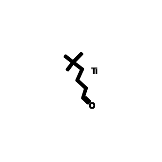 CC(C)(C)CCCC=O.[Ti]